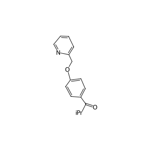 CC(C)C(=O)c1ccc(OCc2ccccn2)cc1